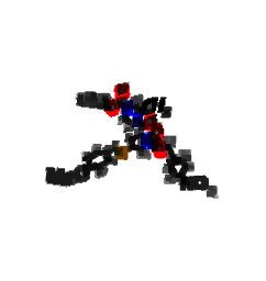 COc1ccc(CS[C@H]2C[C@@H](C(=O)N3CCN(C(=O)OC(C)(C)C)CC3C)N(C(=O)OCc3ccc([N+](=O)[O-])cc3)C2)cc1